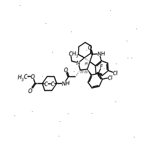 CCN1[C@@H](CC(=O)NC23CCC(C(=O)OC)(CC2)CC3)[C@H](c2cccc(Cl)c2F)[C@]2(C(=O)Nc3cc(Cl)ccc32)C12CCCCC2